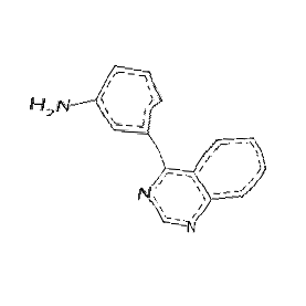 Nc1cccc(-c2ncnc3ccccc23)c1